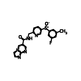 Cc1cc(F)cc([S+]([O-])c2ccc(CNC(=O)c3cnc4nccn4c3)nc2)c1